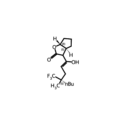 CCCC[C@@](C)(CC=C(O)C1C(=O)O[C@@H]2CCC[C@@H]12)C(F)(F)F